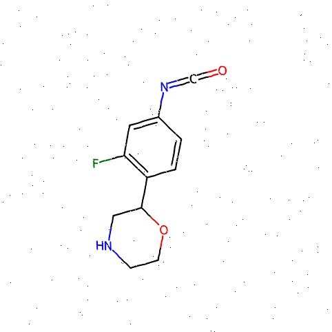 O=C=Nc1ccc(C2CNCCO2)c(F)c1